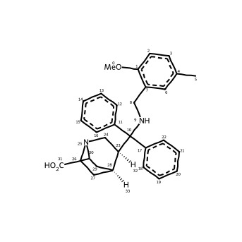 COc1ccc(C)cc1CNC(c1ccccc1)(c1ccccc1)[C@@H]1CN2CC[C@H]1CC2C(=O)O